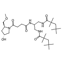 COC[C@@H]1C[C@@H](O)CN1C(=O)CCC(=O)NC(CNC(=O)C(C)(C)CC(C)(C)C)CNC(=O)C(C)(C)CC(C)(C)C